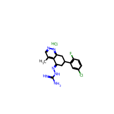 Cc1cnnc2c1C(=NNC(=N)N)CC(c1cc(Cl)ccc1F)C2.Cl